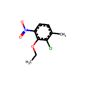 CCOc1c([N+](=O)[O-])ccc(C)c1Cl